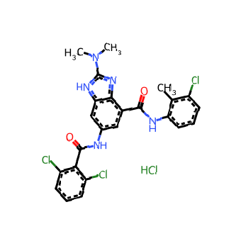 Cc1c(Cl)cccc1NC(=O)c1cc(NC(=O)c2c(Cl)cccc2Cl)cc2[nH]c(N(C)C)nc12.Cl